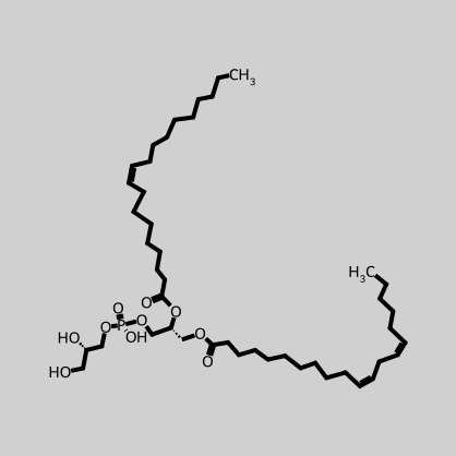 CCCCC/C=C\C/C=C\CCCCCCCCCC(=O)OC[C@H](COP(=O)(O)OC[C@@H](O)CO)OC(=O)CCCCCCC/C=C\CCCCCCCCC